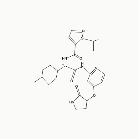 CC1CCC([C@H](NC(=O)c2ccnn2C(C)C)C(=O)Nc2cc(OC3CCNC3=O)ccn2)CC1